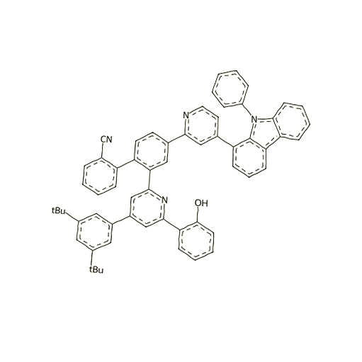 CC(C)(C)c1cc(-c2cc(-c3ccccc3O)nc(-c3cc(-c4cc(-c5cccc6c7ccccc7n(-c7ccccc7)c56)ccn4)ccc3-c3ccccc3C#N)c2)cc(C(C)(C)C)c1